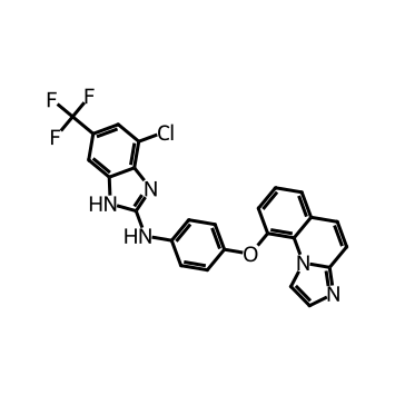 FC(F)(F)c1cc(Cl)c2nc(Nc3ccc(Oc4cccc5ccc6nccn6c45)cc3)[nH]c2c1